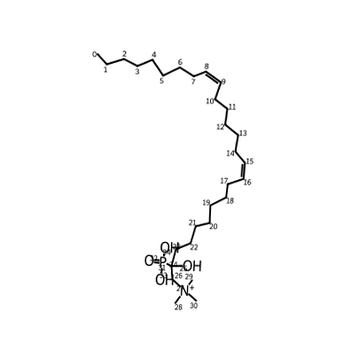 CCCCCCCC/C=C\CCCCC/C=C\CCCCCCCC(O)(C[N+](C)(C)C)P(=O)(O)O